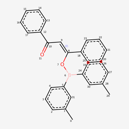 Cc1cccc(B(O/C(=C\C(=O)c2ccccc2)c2ccccc2)c2cccc(C)c2)c1